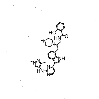 Cc1nn(C)cc1Nc1nccc(-c2c[nH]c3c(C[C@H](CNC(=O)c4ccccc4O)N4CCN(C)CC4)cccc23)n1